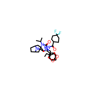 CCC1(CN2CC3(CC4CCC(C3)N4CC[C@H](NC(=O)C3CCC(F)(F)CC3)c3ccccc3)N(C(C)C)C2=O)COCOC1